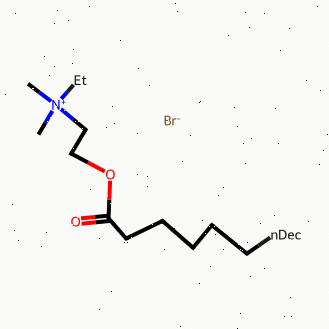 CCCCCCCCCCCCCCCC(=O)OCC[N+](C)(C)CC.[Br-]